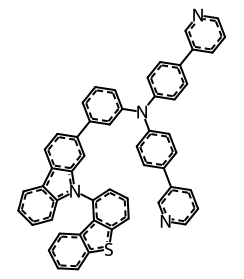 c1cncc(-c2ccc(N(c3ccc(-c4cccnc4)cc3)c3cccc(-c4ccc5c6ccccc6n(-c6cccc7sc8ccccc8c67)c5c4)c3)cc2)c1